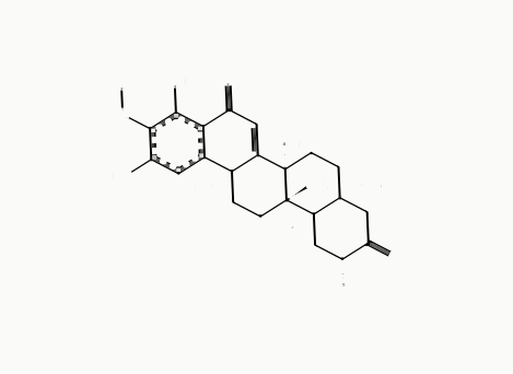 COc1c(O)cc2c(c1C)C(=O)C=C1[C@@]2(C)CC[C@@]2(C)[C@@H]3C[C@@H](C)C(=O)C[C@]3(C)CC[C@]12C